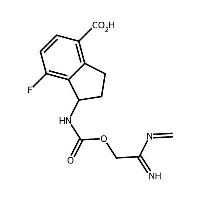 C=NC(=N)COC(=O)NC1CCc2c(C(=O)O)ccc(F)c21